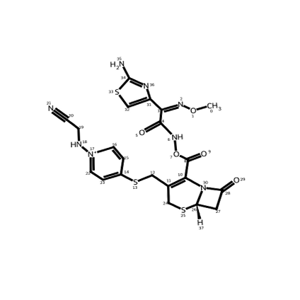 CO/N=C(\C(=O)NOC(=O)C1=C(CSc2cc[n+](NCC#N)cc2)CS[C@H]2CC(=O)N12)c1csc(N)n1